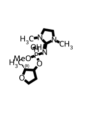 CO[PH](O)(N=C1N(C)CCN1C)OC1CCO[C@@H]1C